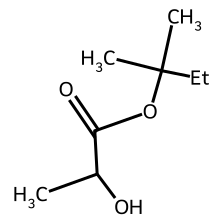 CCC(C)(C)OC(=O)C(C)O